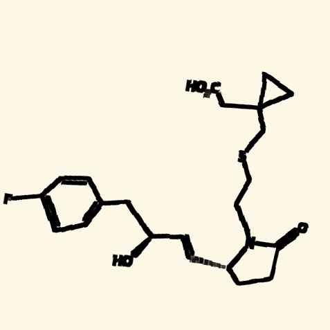 O=C(O)CC1(CSCCN2C(=O)CC[C@@H]2/C=C/[C@@H](O)Cc2ccc(F)cc2)CC1